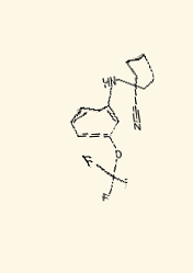 N#CC1(Nc2cccc(OC(F)(F)F)c2)CCC1